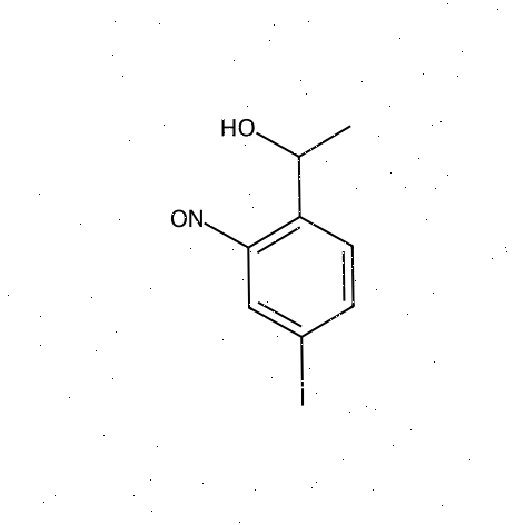 CC(O)c1ccc(I)cc1N=O